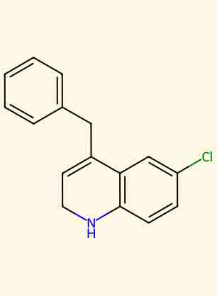 Clc1ccc2c(c1)C(Cc1ccccc1)=CCN2